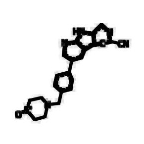 N#Cc1cc2c(cn1)[nH]c1ncc(-c3ccc(CN4CC[S+]([O-])CC4)cc3)cc12